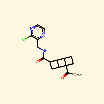 COC(=O)C12C3C4C1C1C2C3C41C(=O)NCc1nccnc1Cl